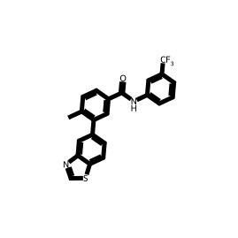 Cc1ccc(C(=O)Nc2cccc(C(F)(F)F)c2)cc1-c1ccc2scnc2c1